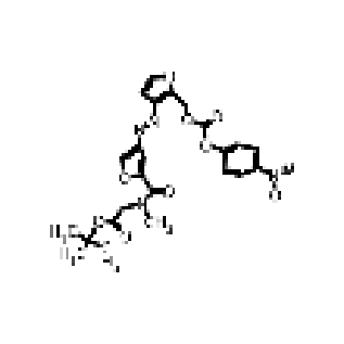 CN(CC(=O)OC(C)(C)C)C(=O)c1cc(/N=N/c2ccoc2COC(=O)Oc2ccc([N+](=O)[O-])cc2)co1